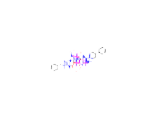 CCCN1C(=O)[C@H](CN(C(C)=O)c2ccc(-c3ccccc3)cc2)NC(=O)C12CCN(CCc1ccccc1)CC2